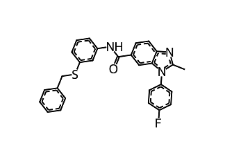 Cc1nc2ccc(C(=O)Nc3cccc(SCc4ccccc4)c3)cc2n1-c1ccc(F)cc1